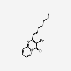 CCCCCC=Cc1nc2ccccn2c(=O)c1Br